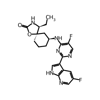 CC[C@@H]1NC(=O)O[C@@]12CCC[C@H](Nc1nc(-c3c[nH]c4ncc(F)cc34)ncc1F)C2